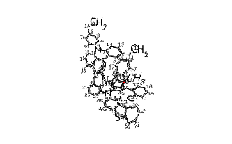 C=Cc1ccc(N(c2ccc(C=C)cc2)c2cccc3c2sc2c3c3cccc(N(c4ccc(C)c(-c5ccccc5C)c4)c4ccc5sc6ccccc6c5c4)c3n2-c2cccc3ccccc23)cc1